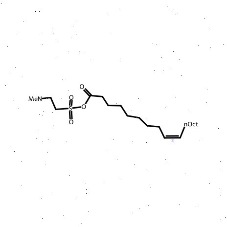 CCCCCCCC/C=C\CCCCCCCC(=O)OS(=O)(=O)CCNC